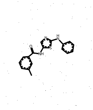 Cc1cccc(C(=O)Nc2cnc(Nc3ccccc3)s2)c1